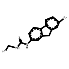 CC(C)CNC(=S)Nc1ccc2c(c1)Cc1cc(Br)ccc1-2